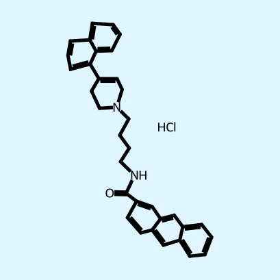 Cl.O=C(NCCCCN1CC=C(c2cccc3ccccc23)CC1)c1ccc2cc3ccccc3cc2c1